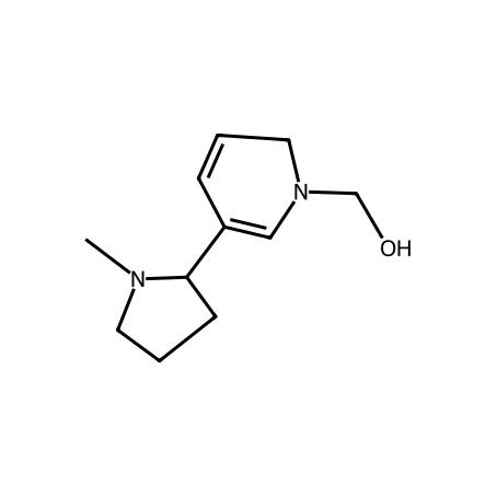 CN1CCCC1C1=CN(CO)CC=C1